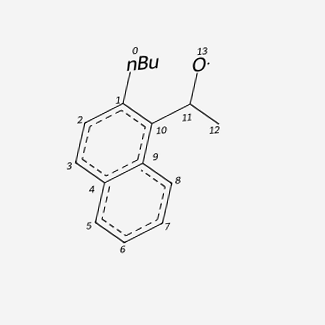 CCCCc1ccc2ccccc2c1C(C)[O]